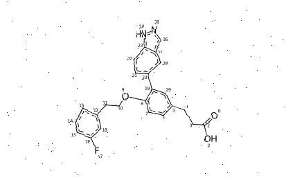 O=C(O)CCc1ccc(OCCc2cccc(F)c2)c(-c2ccc3[nH]ncc3c2)c1